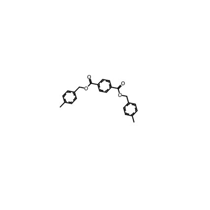 Cc1ccc(COC(=O)c2ccc(C(=O)OCc3ccc(C)cc3)cc2)cc1